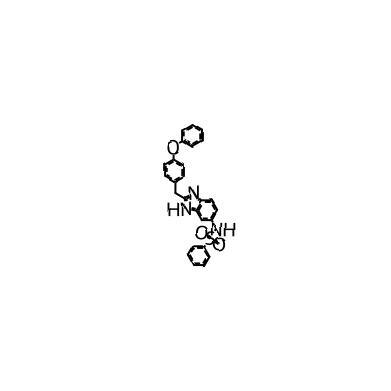 O=S(=O)(Nc1ccc2nc(Cc3ccc(Oc4ccccc4)cc3)[nH]c2c1)c1ccccc1